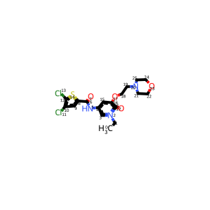 CCn1cc(NC(=O)c2cc(Cl)c(Cl)s2)cc(OCCN2CCOCC2)c1=O